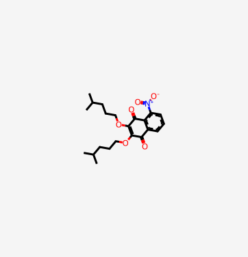 CC(C)CCCOC1=C(OCCCC(C)C)C(=O)c2c(cccc2[N+](=O)[O-])C1=O